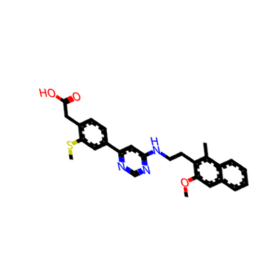 COc1cc2ccccc2c(C)c1CCNc1cc(-c2ccc(CC(=O)O)c(SC)c2)ncn1